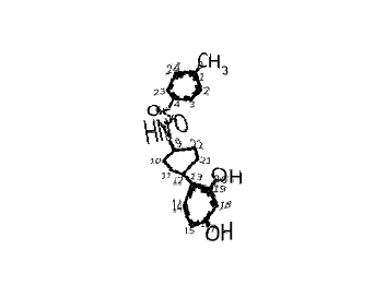 Cc1ccc(S(=O)(=O)NC2CCC(c3ccc(O)cc3O)CC2)cc1